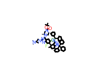 Cc1ccc2c(c(N=C(c3ccccc3)c3ccccc3)nn2C(c2ccccc2)(c2ccccc2)c2ccccc2)c1-c1c(Cl)cc2c(N3C[C@@H](C)N(C(=O)OC(C)(C)C)C[C@@H]3C)nc(N3CC(N(C)C)C3)nc2c1F